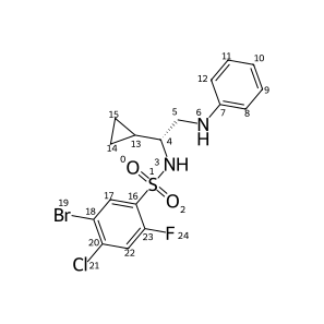 O=S(=O)(N[C@@H](CNc1ccccc1)C1CC1)c1cc(Br)c(Cl)cc1F